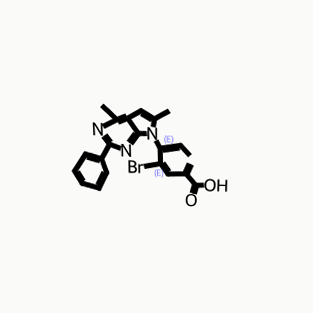 C=C(/C=C(Br)\C(=C/C)n1c(C)cc2c(C)nc(-c3ccccc3)nc21)C(=O)O